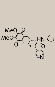 COC1=C(OC)C(=O)C(Cc2ccc(-c3ccncc3)c(C(=O)NC3CCCC3)c2)=C(C)C1=O